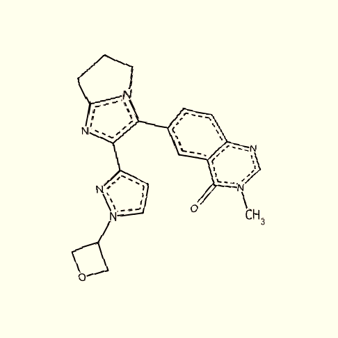 Cn1cnc2ccc(-c3c(-c4ccn(C5COC5)n4)nc4n3CCC4)cc2c1=O